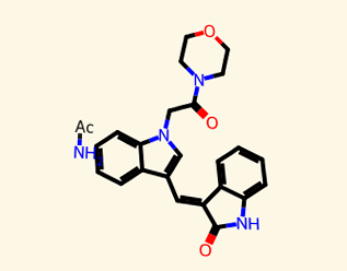 CC(N)=O.O=C1Nc2ccccc2C1=Cc1cn(CC(=O)N2CCOCC2)c2ccccc12